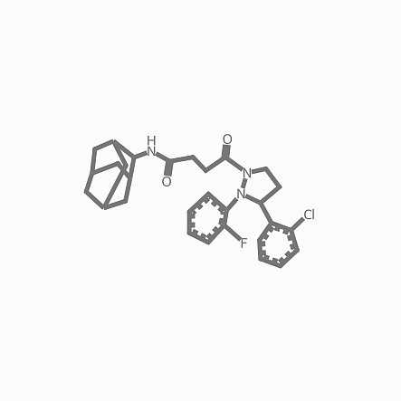 O=C(CCC(=O)N1CCC(c2ccccc2Cl)N1c1ccccc1F)NC1C2CC3CC(C2)CC1C3